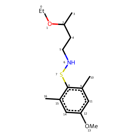 CCOC(C)CCNSc1c(C)cc(OC)cc1C